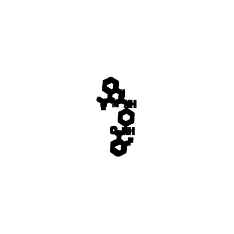 CN(C)c1nc(N[C@H]2CC[C@@H](NC(=O)c3ccccc3F)CC2)nc2ccccc12